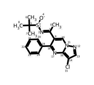 C/C(=N\[S@+]([O-])C(C)(C)C)c1cn2ncc(Cl)c2nc1-c1ccccc1